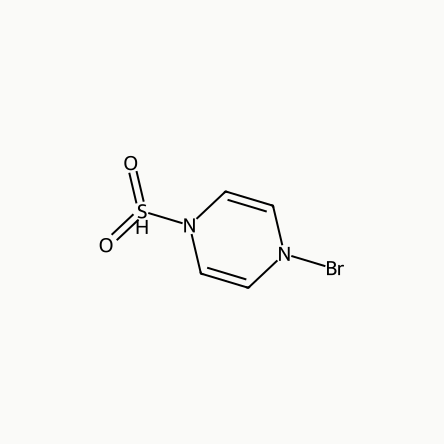 O=[SH](=O)N1C=CN(Br)C=C1